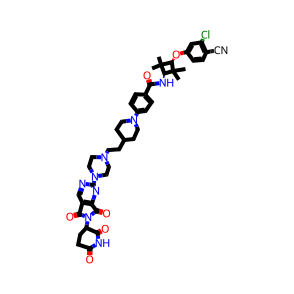 CC1(C)[C@H](NC(=O)c2ccc(N3CCC(CCN4CCN(c5ncc6c(n5)C(=O)N(C5CCC(=O)NC5=O)C6=O)CC4)CC3)cc2)C(C)(C)[C@H]1Oc1ccc(C#N)c(Cl)c1